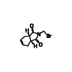 O=C1[C@H]2CC=CC[C@H]2C(=O)N1CBr